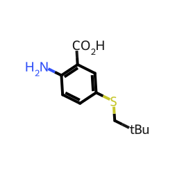 CC(C)(C)CSc1ccc(N)c(C(=O)O)c1